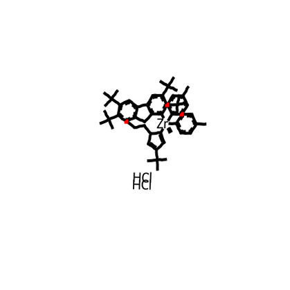 Cl.Cl.[CH2]=[Zr]([C]1=CC(C(C)(C)C)=CC1CCC)([c]1ccc(C)cc1)([c]1ccc(C)cc1)[c]1c2c(cc(C(C)(C)C)c1C(C)(C)C)-c1cc(C(C)(C)C)c(C(C)(C)C)cc1C2